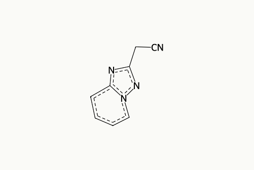 N#CCc1nc2ccccn2n1